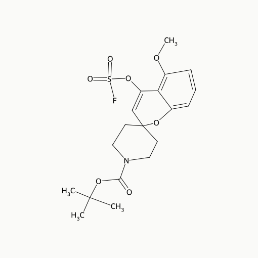 COc1cccc2c1C(OS(=O)(=O)F)=CC1(CCN(C(=O)OC(C)(C)C)CC1)O2